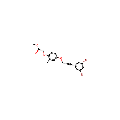 COC(=O)COc1ccc(OCC#Cc2cc(Br)cc(Br)c2)cc1C